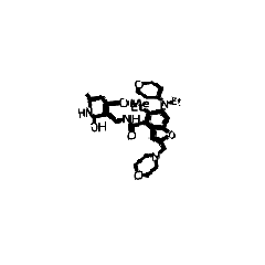 CCc1c(N(CC)C2CCOCC2)cc2oc(CN3CCOCC3)cc2c1C(=O)NCC1=C(OC)C=C(C)NC1O